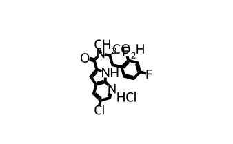 CN(C(=O)c1cc2cc(Cl)cnc2[nH]1)[C@@H](Cc1ccc(F)cc1F)C(=O)O.Cl